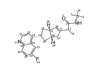 CC(C(=O)NC(C)(C)C)C1=C[C@H]2C[C@@H](c3ccnc4ccc(F)cc34)C[C@H]2C1